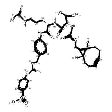 CC(C)[C@H](NC(=O)OCC1[C@H]2CCC#CCC[C@@H]12)C(=O)N[C@@H](CCCNC(N)=O)C(=O)Nc1ccc(COC(=O)Oc2ccc([N+](=O)[O-])cc2)cc1